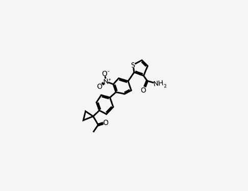 CC(=O)C1(c2ccc(-c3ccc(-c4sccc4C(N)=O)cc3[N+](=O)[O-])cc2)CC1